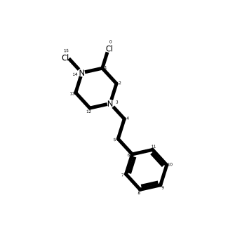 ClC1CN(CCc2ccccc2)CCN1Cl